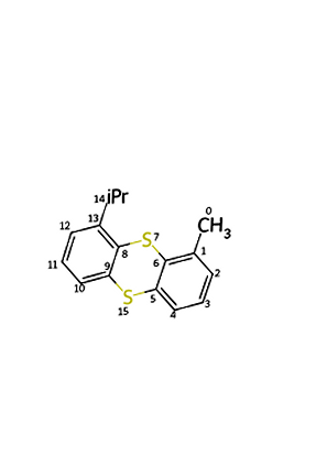 Cc1cccc2c1Sc1c(cccc1C(C)C)S2